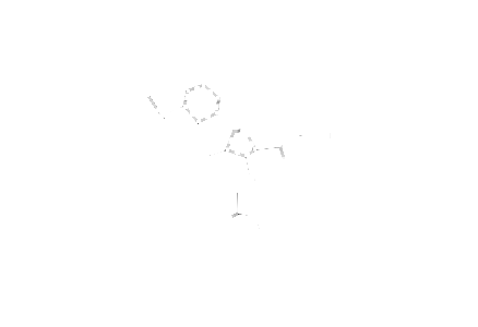 C=Nc1cccc(-c2sc(C(=O)OC(C)(C)C)c(OCC(=O)OC(C)(C)C)c2Cl)c1